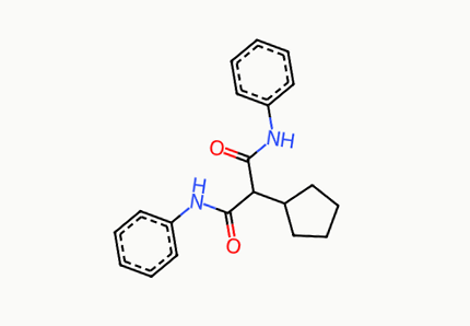 O=C(Nc1ccccc1)C(C(=O)Nc1ccccc1)C1CCCC1